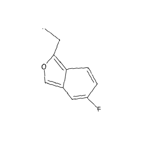 [CH2]Cc1occ2cc(F)ccc12